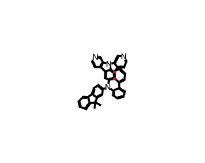 CC1(C)c2ccccc2-c2ccc(N(c3cc4c5ccncc5n5c6cnccc6c(c3)c45)c3ccccc3-c3ccccc3)cc21